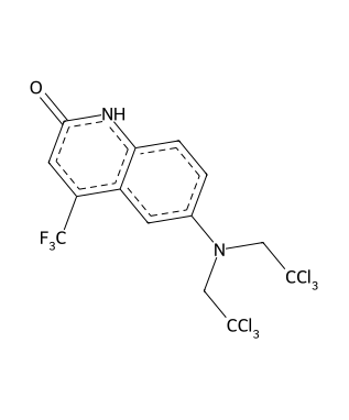 O=c1cc(C(F)(F)F)c2cc(N(CC(Cl)(Cl)Cl)CC(Cl)(Cl)Cl)ccc2[nH]1